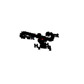 CCCCC/C=C\C/C=C\C/C=C\C/C=C\CCCC(=O)O[C@H](COC(=O)CCCCCCCCCCC/C=C\C/C=C\CCCCC)COP(=O)([O-])OCC[N+](C)(C)C